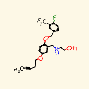 CC#CCCOc1ccc(OCc2ccc(F)c(C(F)(F)F)c2)c(CNCCO)c1